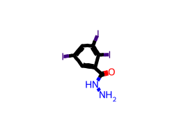 NNC(=O)c1cc(I)cc(I)c1I